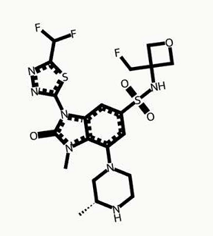 C[C@@H]1CN(c2cc(S(=O)(=O)NC3(CF)COC3)cc3c2n(C)c(=O)n3-c2nnc(C(F)F)s2)CCN1